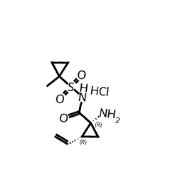 C=C[C@H]1C[C@]1(N)C(=O)NS(=O)(=O)C1(C)CC1.Cl